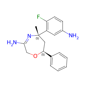 C[C@@]1(c2cc(N)ccc2F)C[C@@H](c2ccccc2)OCC(N)=N1